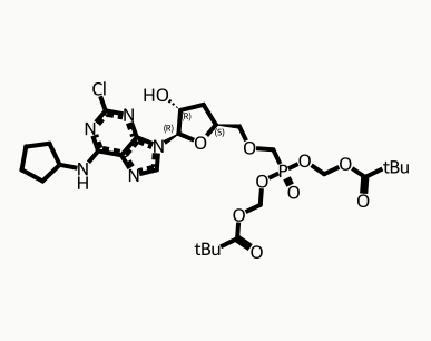 CC(C)(C)C(=O)OCOP(=O)(COC[C@@H]1C[C@@H](O)[C@H](n2cnc3c(NC4CCCC4)nc(Cl)nc32)O1)OCOC(=O)C(C)(C)C